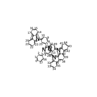 c1ccc(-c2nc(-c3cccc(-n4c5ccccc5c5ccccc54)c3)nc3c2C3n2c3ccccc3c3ccc4c5ccccc5n(-c5ccccc5)c4c32)cc1